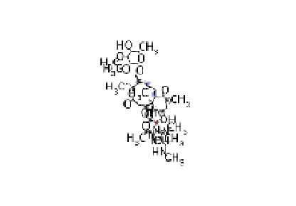 CC[C@H]1OC(=O)C[C@@H](O)[C@@H]2/C(=C\C(C)=C\[C@@H]1COC1OC(C)C(O)C(OC)C1OC)C(=O)[C@H](C)C[C@H](CCn1cc(CNC)nn1)[C@@H]2O[C@@H]1O[C@H](C)C(O)C(N(C)C)C1O